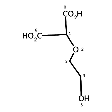 O=C(O)C(OCCO)C(=O)O